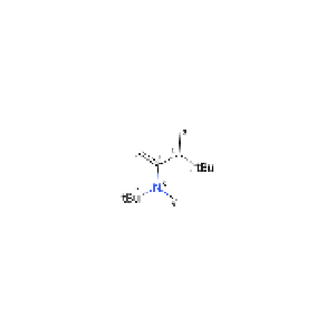 C=C(C(C)C(C)(C)C)N(C)C(C)(C)C